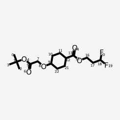 CC(C)(C)OC(=O)COC1CCC(C(=O)OCCC(F)F)CC1